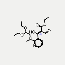 CCOC(=O)/C(C=O)=C(\O)c1cccnc1N(C)CC(OCC)OCC